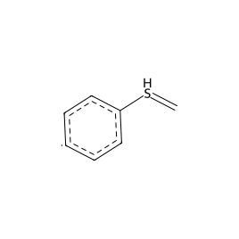 C=[SH]c1cc[c]cc1